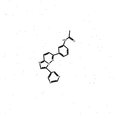 CC(=O)Nc1cccc(-c2ccc3ncc(-c4cncnc4)n3n2)c1